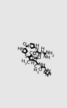 C[C@@H](NC(=O)Cn1nnnn1)[C@H]1C(=O)N2C(C(=O)O)=C(S[C@@H]3CN[C@H](C(=O)N4CC[C@@H](NC(=O)CNC(=N)N)C4)C3)[C@H](C)[C@H]12